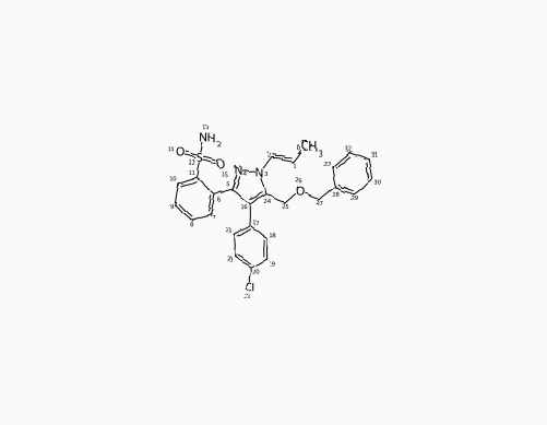 CC=Cn1nc(-c2ccccc2S(N)(=O)=O)c(-c2ccc(Cl)cc2)c1COCc1ccccc1